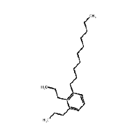 CCCCCCCCCCc1[c]ccc(CCC)c1CCC